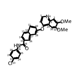 COc1cc2nccc(Oc3ccc4ccc(C(=O)Nc5ccc(Cl)cc5)cc4c3)c2cc1OC